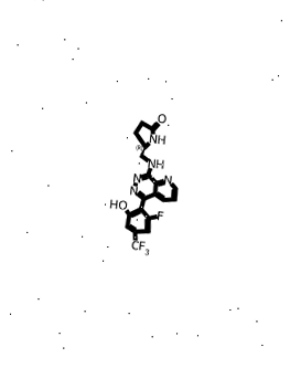 O=C1CC[C@H](CNc2nnc(-c3c(O)cc(C(F)(F)F)cc3F)c3cccnc23)N1